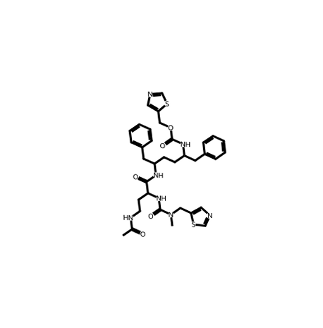 CC(=O)NCCC(NC(=O)N(C)Cc1cncs1)C(=O)NC(CCC(Cc1ccccc1)NC(=O)OCc1cncs1)Cc1ccccc1